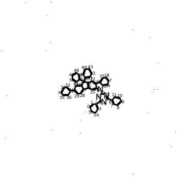 C1=CC(c2nc(-c3ccccc3)nc(-n3c4ccccc4c4cc5c(cc43)-c3ccc(-c4ccccc4)cc3C5(c3ccccc3)c3ccccc3)n2)=CCC1